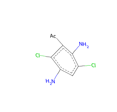 CC(=O)c1c(N)c(Cl)cc(N)c1Cl